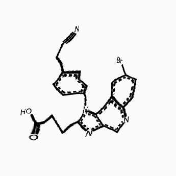 N#CCc1ccc(-n2c(CCC(=O)O)nc3cnc4ccc(Br)cc4c32)cc1